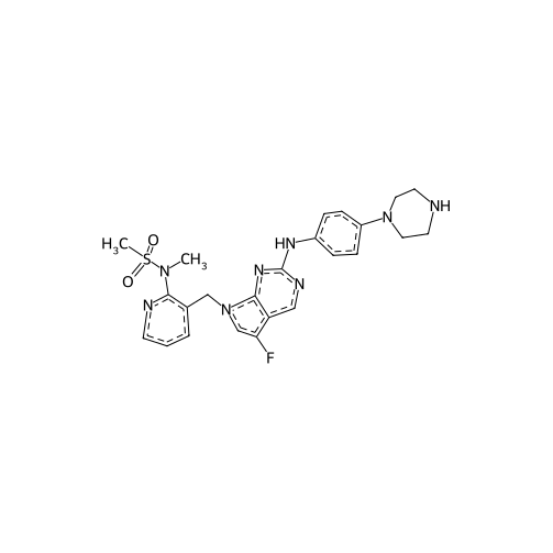 CN(c1ncccc1Cn1cc(F)c2cnc(Nc3ccc(N4CCNCC4)cc3)nc21)S(C)(=O)=O